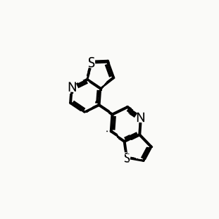 [c]1c(-c2ccnc3sccc23)cnc2ccsc12